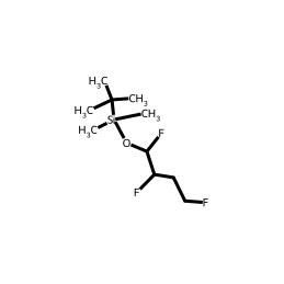 CC(C)(C)[Si](C)(C)OC(F)C(F)CCF